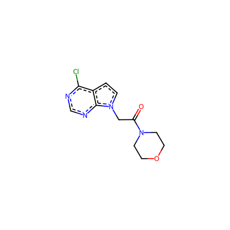 O=C(Cn1ccc2c(Cl)ncnc21)N1CCOCC1